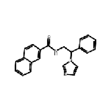 O=C(NCC(c1ccccc1)n1ccnc1)c1ccc2ccccc2c1